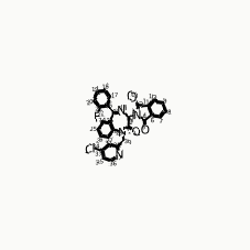 O=C1[C@H](N2C(=O)c3ccccc3C2=O)N=C(c2ccccc2F)c2ccccc2N1Cc1cc(Cl)ccn1